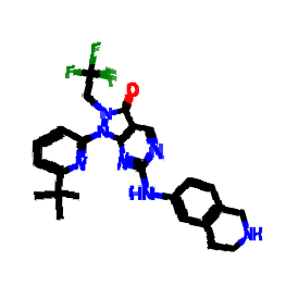 CC(C)(C)c1cccc(-n2c3nc(Nc4ccc5c(c4)CCNC5)ncc3c(=O)n2CC(F)(F)F)n1